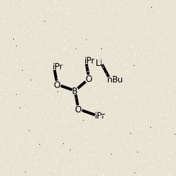 CC(C)OB(OC(C)C)OC(C)C.[Li][CH2]CCC